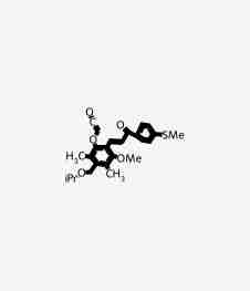 COc1c(C)c(COC(C)C)c(C)c(OC=C=O)c1C=CC(=O)c1ccc(SC)cc1